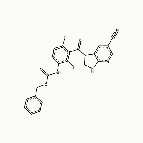 N#Cc1cnc2c(c1)C(C(=O)c1c(F)ccc(NC(=O)OCc3ccccc3)c1F)CN2